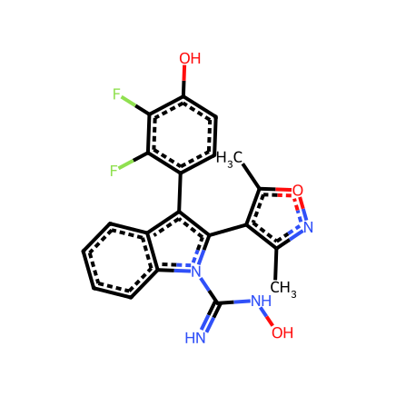 Cc1noc(C)c1-c1c(-c2ccc(O)c(F)c2F)c2ccccc2n1C(=N)NO